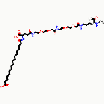 CN[C@@H](CCCCNC(=O)COCCOCCNC(=O)COCCOCCNC(=O)CCC(NC(=O)CCCCCCCCCCCCCCCCC(=O)O)C(=O)O)C(C)=O